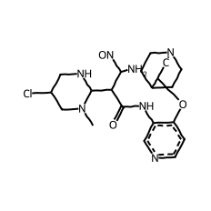 CN1CC(Cl)CNC1C(C(=O)Nc1cnccc1OC1CN2CCC1CC2)C(N)N=O